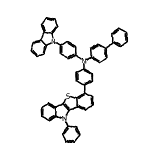 c1ccc(-c2ccc(N(c3ccc(-c4cccc5c4sc4c6ccccc6n(-c6ccccc6)c54)cc3)c3ccc(-n4c5ccccc5c5ccccc54)cc3)cc2)cc1